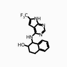 OC1CCc2ccccc2C1Nc1ncnc2[nH]c(C(F)(F)F)cc12